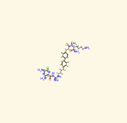 CN(C(=O)CCc1ccc(-c2ccc(CCCCNC(=N)NC(=O)c3nc(Cl)c(N)nc3N)cc2)cc1)C(CCCCN)C(N)=O